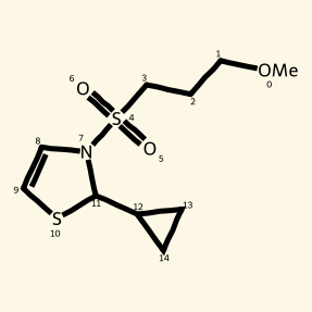 COCCCS(=O)(=O)N1C=CSC1C1CC1